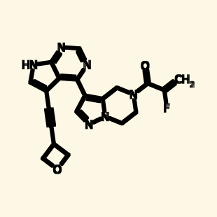 C=C(F)C(=O)N1CCn2ncc(-c3ncnc4[nH]cc(C#CC5COC5)c34)c2C1